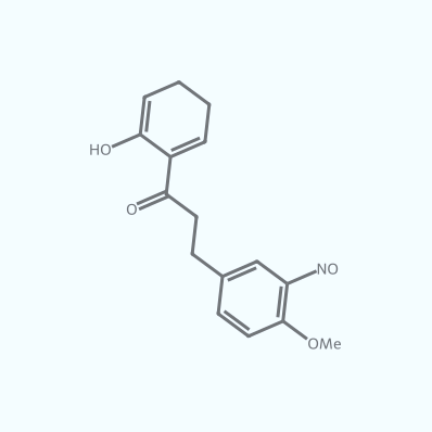 COc1ccc(CCC(=O)C2=CCCC=C2O)cc1N=O